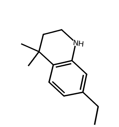 CCc1ccc2c(c1)NCCC2(C)C